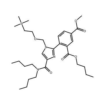 CCCCOC(=O)c1cc(C(=O)OC)ccc1-c1nc(C(=O)N(CCCC)CCCC)cn1COCC[Si](C)(C)C